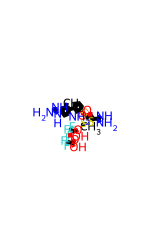 CSc1sc(C(=N)N)cc1S(=O)(=O)c1cccc(-c2c(C)cc(NC(=N)N)cc2N)c1.O=C(O)C(F)(F)F.O=C(O)C(F)(F)F